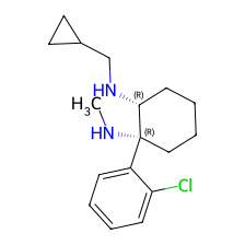 CN[C@@]1(c2ccccc2Cl)CCCC[C@H]1NCC1CC1